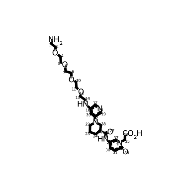 NCCOCCOCCOCCOCCNc1cncc(N2CCC[C@H](C(=O)Nc3ccc(=O)n(CC(=O)O)c3)C2)c1